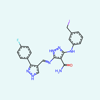 NC(=O)c1c(Nc2cccc(CI)c2)n[nH]c1/N=C/c1c[nH]nc1-c1ccc(F)cc1